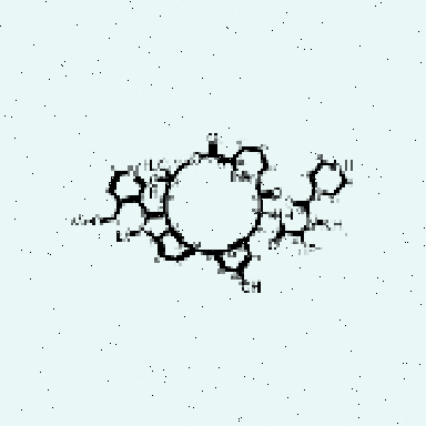 CCn1c(-c2cnccc2COC)c2c3cc(ccc31)-c1cc(O)cc(c1)C[C@H](NC(=O)[C@H](C(C)C)N(C)C(=O)N1CCNCC1)C(=O)N1CCC[C@H](N1)C(=O)OCC(C)(C)C2